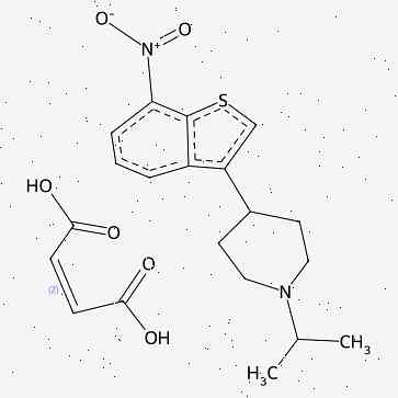 CC(C)N1CCC(c2csc3c([N+](=O)[O-])cccc23)CC1.O=C(O)/C=C\C(=O)O